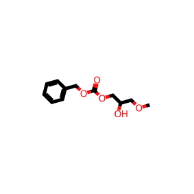 COCC(O)COC(=O)OCc1ccccc1